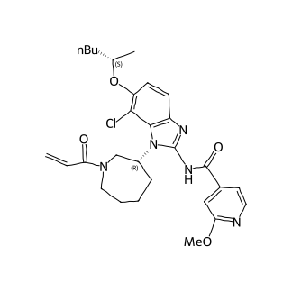 C=CC(=O)N1CCCC[C@@H](n2c(NC(=O)c3ccnc(OC)c3)nc3ccc(O[C@@H](C)CCCC)c(Cl)c32)C1